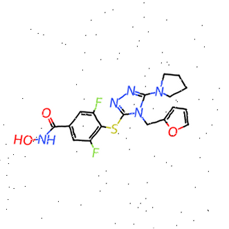 O=C(NO)c1cc(F)c(Sc2nnc(N3CCCC3)n2Cc2ccco2)c(F)c1